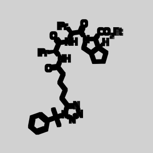 CCOC(=O)C1[C@H]2CCCC2CN1C(=O)[C@@H](NC(=O)[C@@H](NC(=O)CCCCc1nnnn1C(C)(C)c1ccccc1)C(C)C)C(C)C